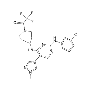 Cn1cc(-c2cnc(Nc3cccc(Cl)c3)nc2NC2CCN(C(=O)C(F)(F)F)CC2)cn1